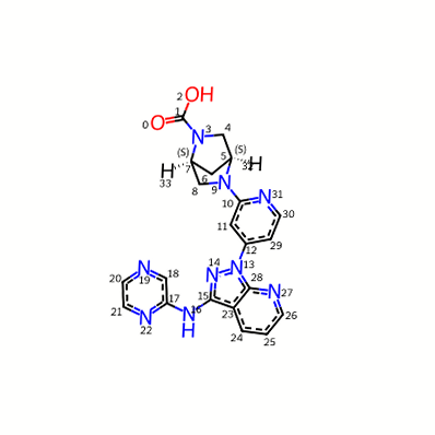 O=C(O)N1C[C@@H]2C[C@H]1CN2c1cc(-n2nc(Nc3cnccn3)c3cccnc32)ccn1